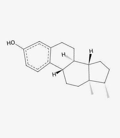 C[C@H]1CC[C@H]2[C@@H]3CCc4cc(O)ccc4[C@H]3CC[C@]12C